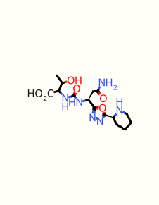 CC(O)C(NC(=O)N[C@@H](CC(N)=O)c1nnc([C@@H]2CCCCN2)o1)C(=O)O